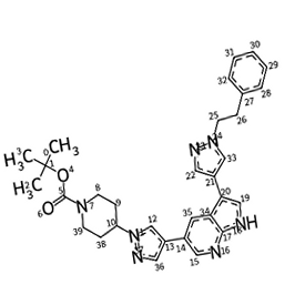 CC(C)(C)OC(=O)N1CCC(n2cc(-c3cnc4[nH]cc(-c5cnn(CCc6ccccc6)c5)c4c3)cn2)CC1